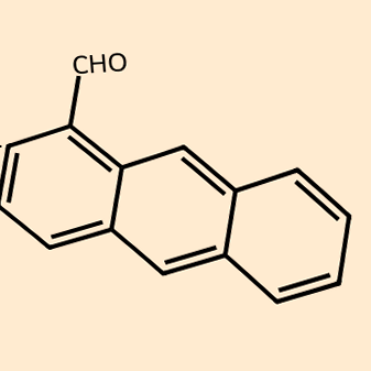 O=Cc1[c]ccc2cc3ccccc3cc12